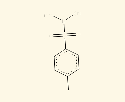 CCCN(C#N)S(=O)(=O)c1ccc(C)cc1